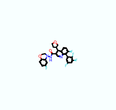 O=C(NN1CCOc2ccc(F)cc21)c1cnc2c(-c3cc(F)cc(F)c3F)c(F)ccc2c1C1CCOC1